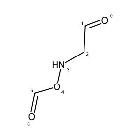 O=CCNOC=O